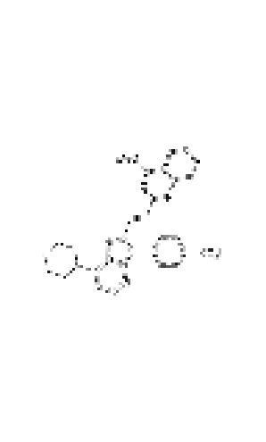 COc1cc(C=Cc2nc3c(N4CCOCC4)ccnn3c2-c2ccc(C(=O)O)cc2)nc2ccccc12